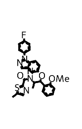 COc1ccccc1C(Oc1ccc2c(cnn2-c2ccc(F)cc2)c1)C(C)NC(=O)c1ncc(C)s1